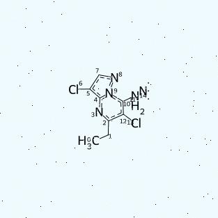 CCc1nc2c(Cl)cnn2c(N)c1Cl.[N]